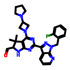 CC1(C)c2c(nc(-c3nn(Cc4ccccc4F)c4ncccc34)nc2N2CC(N3CCCC3)C2)NC1C=O